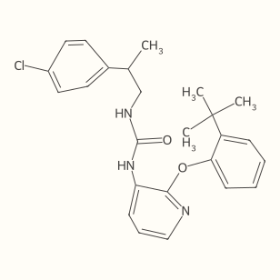 CC(CNC(=O)Nc1cccnc1Oc1ccccc1C(C)(C)C)c1ccc(Cl)cc1